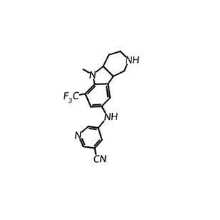 CN1c2c(cc(Nc3cncc(C#N)c3)cc2C(F)(F)F)C2CNCCC21